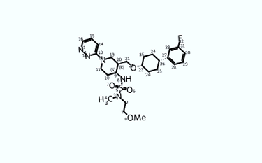 COCCN(C)S(=O)(=O)N[C@H]1CCN(c2cccnn2)C[C@H]1CO[C@H]1CC[C@@H](c2cccc(F)c2)CC1